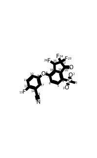 CS(=O)(=O)c1ccc(Oc2ccc(F)c(C#N)c2)c2c1C(=O)C(F)(F)C2F